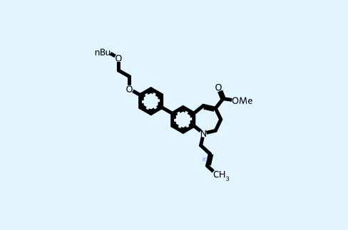 C/C=C/CN1CCC(C(=O)OC)=Cc2cc(-c3ccc(OCCOCCCC)cc3)ccc21